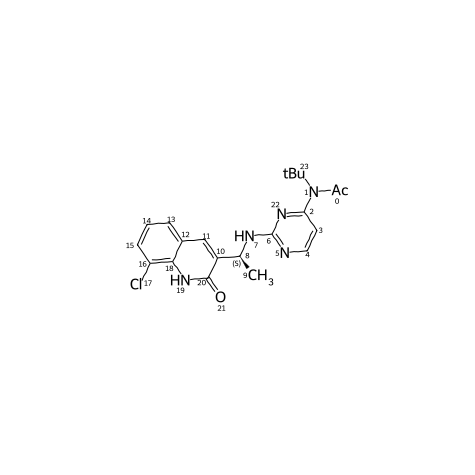 CC(=O)N(c1ccnc(N[C@@H](C)c2cc3cccc(Cl)c3[nH]c2=O)n1)C(C)(C)C